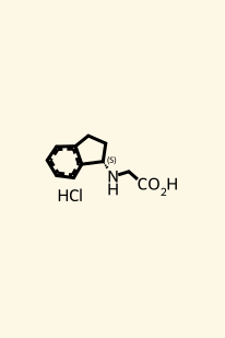 Cl.O=C(O)CN[C@H]1CCc2ccccc21